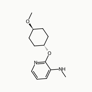 CNc1cccnc1O[C@H]1CC[C@H](OC)CC1